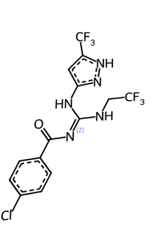 O=C(/N=C(/NCC(F)(F)F)Nc1cc(C(F)(F)F)[nH]n1)c1ccc(Cl)cc1